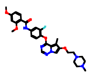 COc1ccc(C(=O)Nc2ccc(Oc3ncnn4cc(OCCN5CCN(C)CC5)c(C)c34)c(F)c2)c(OC)c1